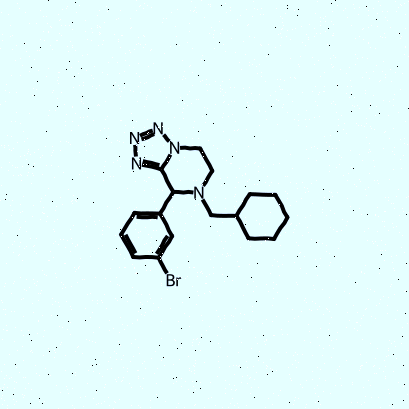 Brc1cccc(C2c3nnnn3CCN2CC2CCCCC2)c1